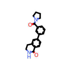 O=C1NCCc2cc(-c3cccc(C(=O)N4CCCC4)c3)ccc21